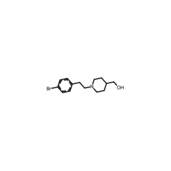 OCC1CCN(CCc2ccc(Br)cc2)CC1